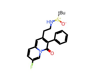 CC(C)(C)[S@+]([O-])NCCc1cc2ccc(F)cn2c(=O)c1-c1ccccc1